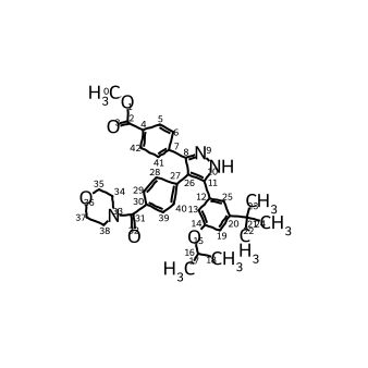 COC(=O)c1ccc(-c2n[nH]c(-c3cc(OC(C)C)cc(C(C)(C)C)c3)c2-c2ccc(C(=O)N3CCOCC3)cc2)cc1